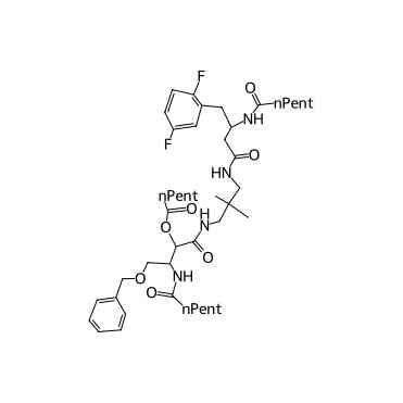 CCCCCC(=O)NC(CC(=O)NCC(C)(C)CNC(=O)C(OC(=O)CCCCC)C(COCc1ccccc1)NC(=O)CCCCC)Cc1cc(F)ccc1F